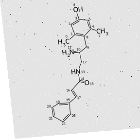 Cc1cc(O)cc(C)c1C[C@H](N)CNC(=O)C=Cc1ccccc1